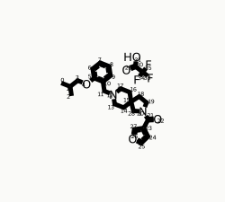 CC(C)COc1ccccc1CN1CCC2(CC1)CCN(C(=O)c1ccoc1)C2.O=C(O)C(F)(F)F